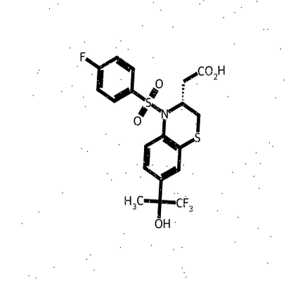 CC(O)(c1ccc2c(c1)SC[C@@H](CC(=O)O)N2S(=O)(=O)c1ccc(F)cc1)C(F)(F)F